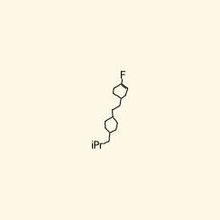 CC(C)CC1CCC(CCC2CC=C(F)CC2)CC1